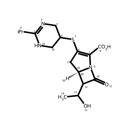 CC(C)C1=NCC(SC2=C(C(=O)O)N3C(=O)C(C(C)O)[C@H]3C2)CN1